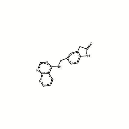 O=C1Cc2cc(CNc3ncnc4ncccc34)ccc2N1